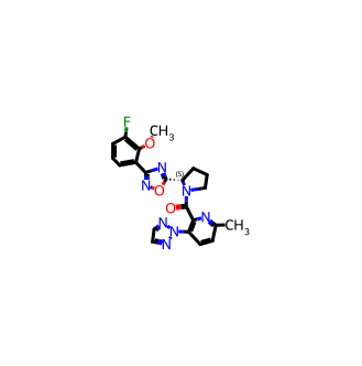 COc1c(F)cccc1-c1noc([C@@H]2CCCN2C(=O)c2nc(C)ccc2-n2nccn2)n1